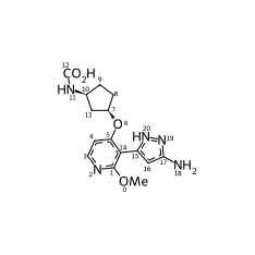 COc1nccc(O[C@@H]2CC[C@H](NC(=O)O)C2)c1-c1cc(N)n[nH]1